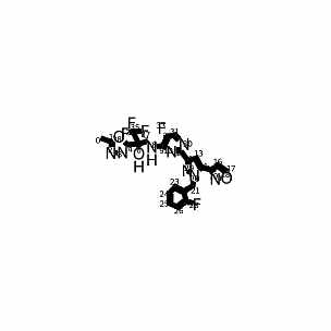 Cc1nnc(C(O)(CNc2nc(-c3cc(-c4ccon4)n(Cc4ccccc4F)n3)ncc2F)C(F)(F)F)o1